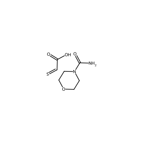 NC(=O)N1CCOCC1.O=C(O)C=S